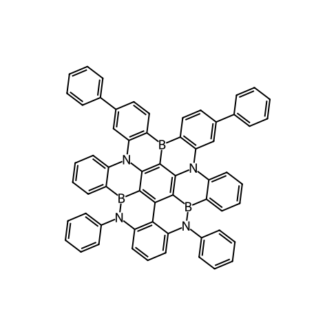 c1ccc(-c2ccc3c(c2)N2c4ccccc4B4c5c6c7c8c(c52)B3c2ccc(-c3ccccc3)cc2N8c2ccccc2B7N(c2ccccc2)c2cccc(c2-6)N4c2ccccc2)cc1